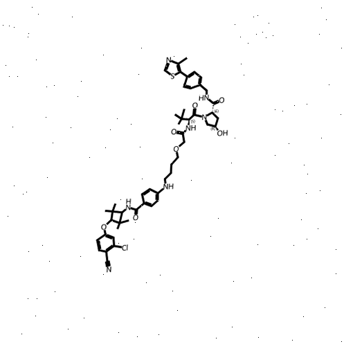 Cc1ncsc1-c1ccc(CNC(=O)[C@@H]2C[C@@H](O)CN2C(=O)[C@@H](NC(=O)COCCCCNc2ccc(C(=O)NC3C(C)(C)C(Oc4ccc(C#N)c(Cl)c4)C3(C)C)cc2)C(C)(C)C)cc1